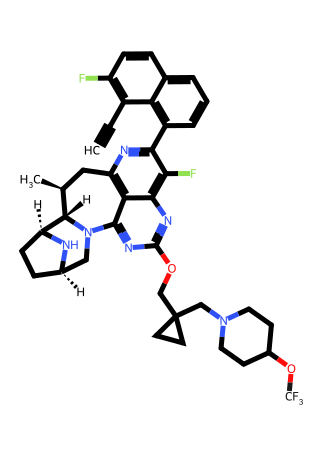 C#Cc1c(F)ccc2cccc(-c3nc4c5c(nc(OCC6(CN7CCC(OC(F)(F)F)CC7)CC6)nc5c3F)N3C[C@H]5CC[C@H](N5)[C@@H]3[C@@H](C)C4)c12